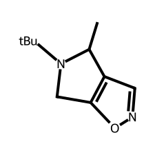 CC1c2cnoc2CN1C(C)(C)C